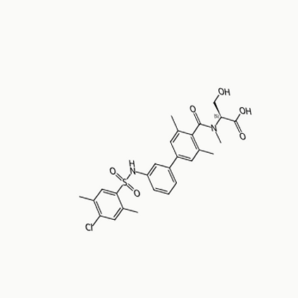 Cc1cc(S(=O)(=O)Nc2cccc(-c3cc(C)c(C(=O)N(C)[C@@H](CO)C(=O)O)c(C)c3)c2)c(C)cc1Cl